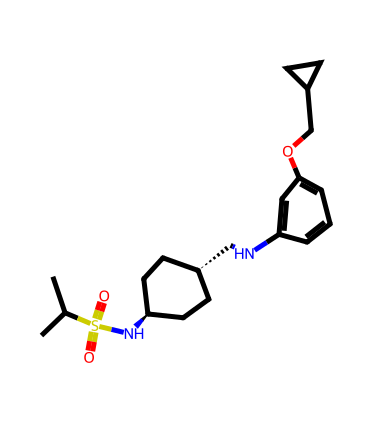 CC(C)S(=O)(=O)N[C@H]1CC[C@H](CNc2cccc(OCC3CC3)c2)CC1